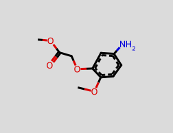 COC(=O)COc1cc(N)ccc1OC